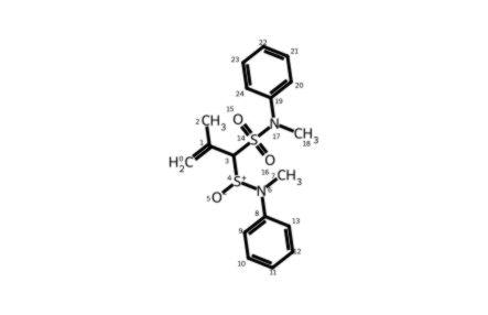 C=C(C)C([S+]([O-])N(C)c1ccccc1)S(=O)(=O)N(C)c1ccccc1